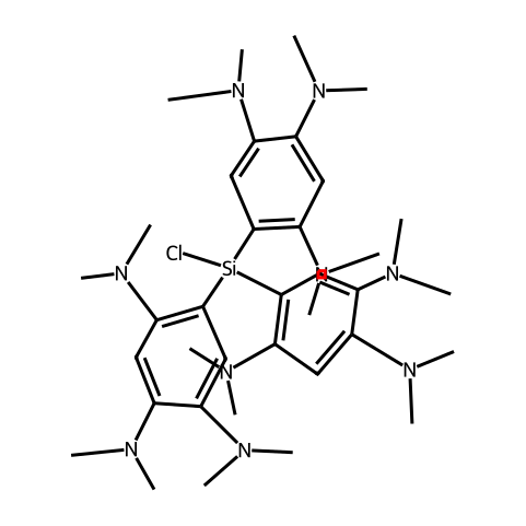 CN(C)c1cc(N(C)C)c([Si](Cl)(c2cc(N(C)C)c(N(C)C)cc2N(C)C)c2cc(N(C)C)c(N(C)C)cc2N(C)C)cc1N(C)C